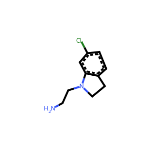 NCCN1CCc2ccc(Cl)cc21